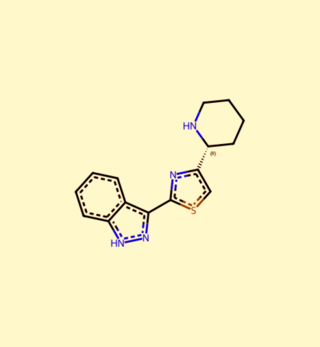 c1ccc2c(-c3nc([C@H]4CCCCN4)cs3)n[nH]c2c1